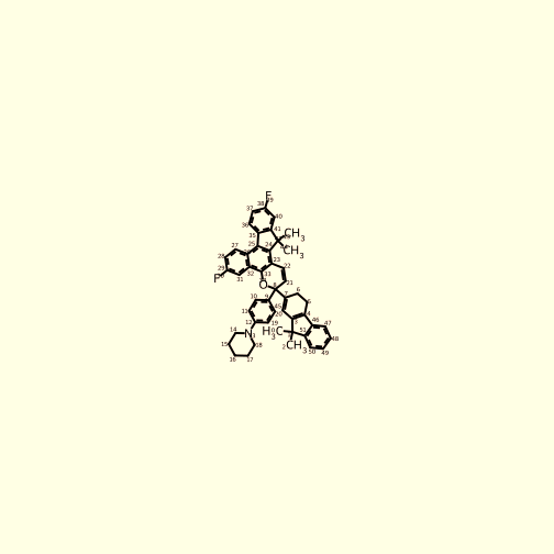 CC1(C)C2=C(CCC(C3(c4ccc(N5CCCCC5)cc4)C=Cc4c5c(c6ccc(F)cc6c4O3)-c3ccc(F)cc3C5(C)C)=C2)c2ccccc21